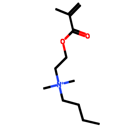 C=C(C)C(=O)OCC[N+](C)(C)CCCC